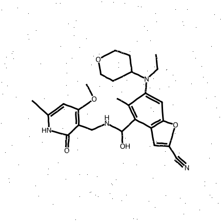 CCN(c1cc2oc(C#N)cc2c(C(O)NCc2c(OC)cc(C)[nH]c2=O)c1C)C1CCOCC1